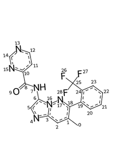 Cc1cc2ncc(NC(=O)c3ccncn3)n2nc1-c1ccccc1C(F)(F)F